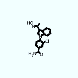 C/C(=N\O)c1cn(-c2ccc(C(N)=O)cc2Cl)c2ccccc12